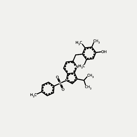 Cc1ccc(S(=O)(=O)n2cc(C(C)C)c3nc(Cc4c(C)cc(O)c(C)c4C)ccc32)cc1